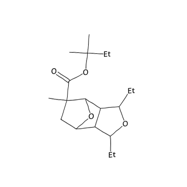 CCC1OC(CC)C2C1C1CC(C)(C(=O)OC(C)(C)CC)C2O1